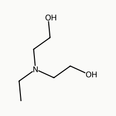 CCN(CCO)CCO